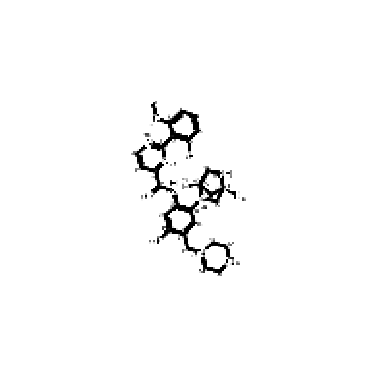 COc1cccc(F)c1-c1nccc(C(=O)Nc2cc(F)c(CN3CCOCC3)cc2N2C[C@@H]3C[C@H]2CN3)n1